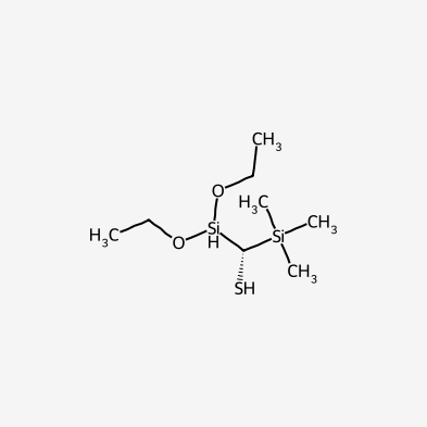 CCO[SiH](OCC)[C@@H](S)[Si](C)(C)C